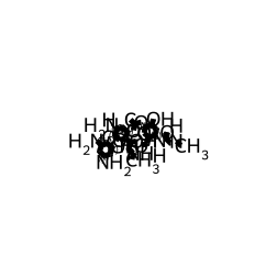 CNCC(=O)N[C@H]1CC(O)[C@@H](OC(C)O[C@H]2C[C@H](N)[C@@H](O[C@@H]3C(N)C[C@@H](N)C[C@H]3O)OC2C(O)CNC)OC1CO